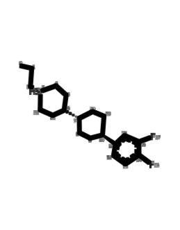 CCC[SiH]1CCC([C@H]2CC[C@H](c3ccc(F)c(F)c3)CC2)CC1